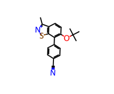 Cc1nsc2c(-c3ccc(C#N)cc3)c(OC(C)(C)C)ccc12